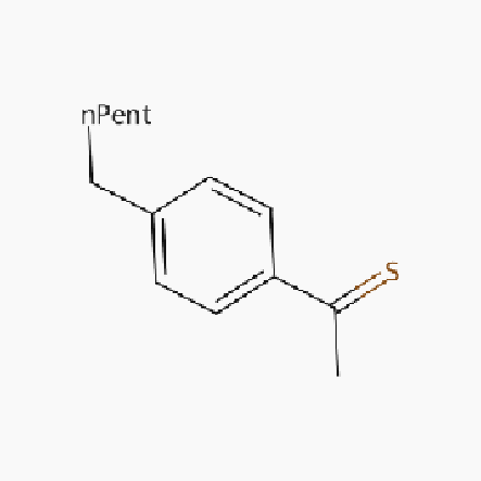 CCCCCCc1ccc(C(C)=S)cc1